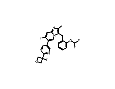 Cc1nc2cc(F)c(-c3cnc(C4(F)COC4)nc3)cn2c1Cc1ccccc1OC(F)F